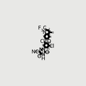 Cc1cc(C(F)(F)F)nc2ccc(Oc3c(Cl)cc(-n4nc(C#N)c(=O)[nH]c4=O)cc3Cl)cc12